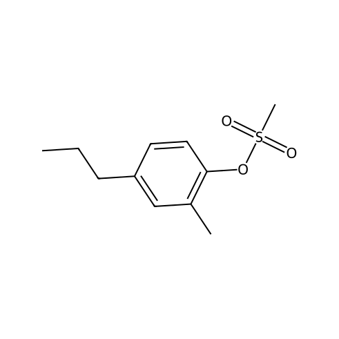 CCCc1ccc(OS(C)(=O)=O)c(C)c1